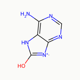 Nc1ncnc2c1NC(O)=[N+]2